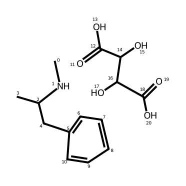 CNC(C)Cc1ccccc1.O=C(O)C(O)C(O)C(=O)O